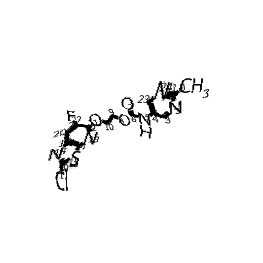 Cc1ncc(NC(=O)OCCOc2nc3sc(Cl)nc3cc2F)cn1